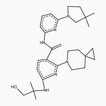 CC1(C)CCN(c2cccc(NC(=O)c3ccc(NC(C)(C)CO)nc3N3CCC4(CC3)CC4)n2)C1